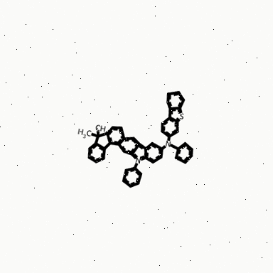 CC1(C)c2ccccc2-c2c1ccc1cc3c4cc(N(c5ccccc5)c5ccc6c(c5)sc5ccccc56)ccc4n(-c4ccccc4)c3cc21